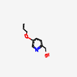 C=CCOc1ccc(CO)nc1